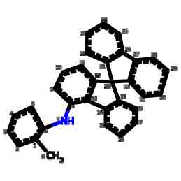 Cc1ccccc1Nc1cccc2c1-c1ccccc1C21c2ccccc2-c2ccccc21